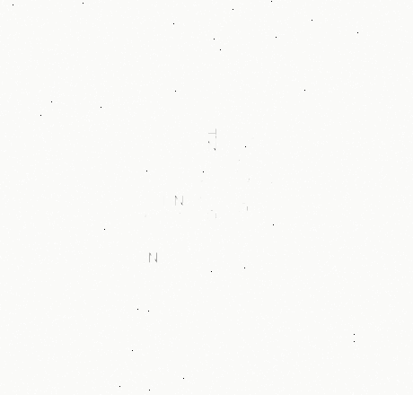 O=C(Nc1ccncc1)c1c[nH]c2c1C(=O)CCC2